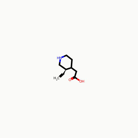 C=C[C@H]1CNCCC1CC(=O)O